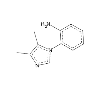 Cc1ncn(-c2ccccc2N)c1C